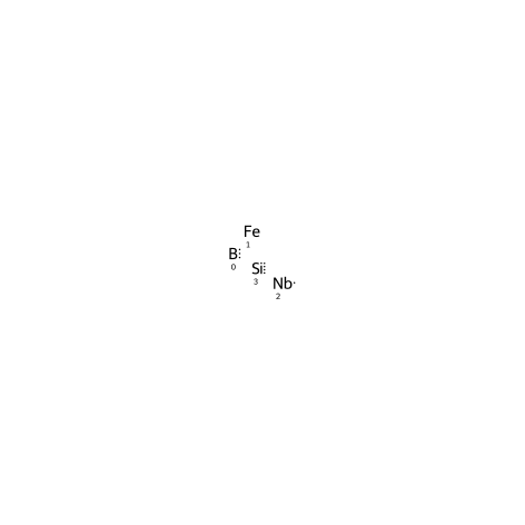 [B].[Fe].[Nb].[Si]